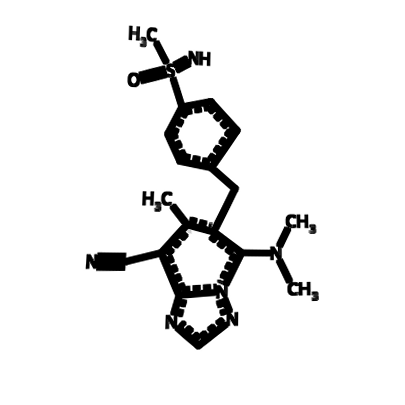 Cc1c(Cc2ccc(S(C)(=N)=O)cc2)c(N(C)C)n2ncnc2c1C#N